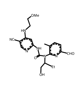 CCC(CO)N(C(=O)Nc1cc(NCCOC)c(C#N)cn1)c1nc(C=O)ccc1C